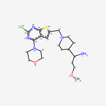 COCCC(N)C1CCN(Cc2cc3c(N4CCOCC4)nc(Cl)nc3s2)CC1